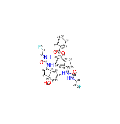 O=C(NCCF)NC1CCc2c(O)cccc21.O=C(NCCF)NC1CCc2c(OC(=O)c3ccccc3)cccc21